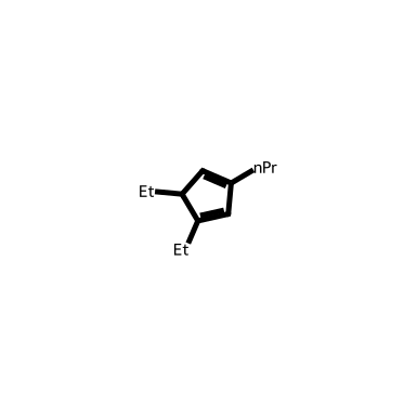 CCCC1=C[C](CC)C(CC)=C1